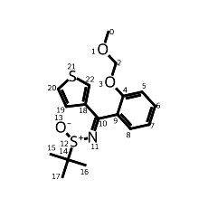 COCOc1ccccc1/C(=N/[S+]([O-])C(C)(C)C)c1ccsc1